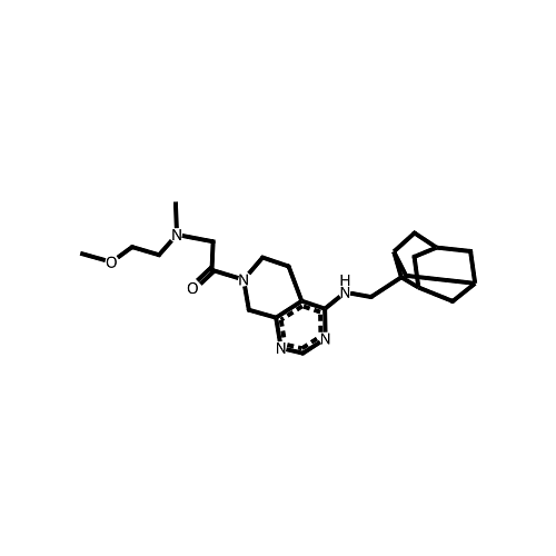 COCCN(C)CC(=O)N1CCc2c(ncnc2NCC2C3CC4CC(C3)CC2C4)C1